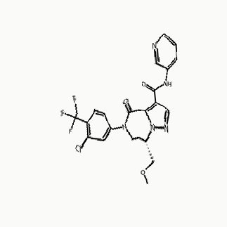 COC[C@@H]1CN(c2ccc(C(F)(F)F)c(Cl)c2)C(=O)c2c(C(=O)Nc3cccnc3)cnn21